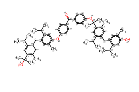 CC1=C(C(C)(C)O)C=C(C(C)C)C(Cc2cc(C)c(Oc3ccc(C(=O)c4ccc(OC(C)(C)c5cc(C(C)C)c(Cc6cc(C)c(O)cc6C(C)C)cc5C)cc4)cc3)cc2C(C)C)C1